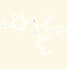 CCC(=O)N[C@@H](Cc1ccc(O)cc1)C(=O)OC